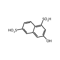 O=S(=O)(O)c1ccc2c(S(=O)(=O)O)cc(O)cc2c1